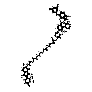 Nc1c(N2CCN(CC(=O)NCCOCCOCCOCCOCCNc3ccc4c(c3)C(=O)N(C3CCC(=O)NC3=O)C4=O)CC2)ccc(C(=O)Nc2n[nH]c3ccc(Cc4cc(F)cc(F)c4)cc23)c1C1CCOCC1